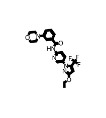 CCOc1cc(C(F)(F)F)n(-c2ccc(NC(=O)c3cccc(N4CCOCC4)c3)nc2)n1